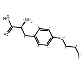 N[C@@H](Cc1ccc(OCCCl)cc1)C(=O)O